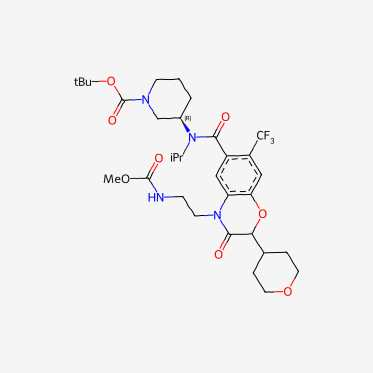 COC(=O)NCCN1C(=O)C(C2CCOCC2)Oc2cc(C(F)(F)F)c(C(=O)N(C(C)C)[C@@H]3CCCN(C(=O)OC(C)(C)C)C3)cc21